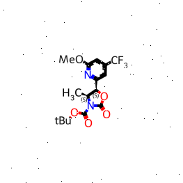 COc1cc(C(F)(F)F)cc([C@H]2OC(=O)N(C(=O)OC(C)(C)C)[C@H]2C)n1